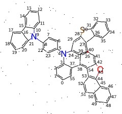 c1ccc(N(c2ccc(-n3c4ccccc4c4ccccc43)cc2)c2ccc3c(c2)sc2ccccc23)c(-c2cccc3oc4c5ccccc5ccc4c23)c1